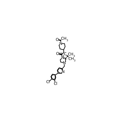 CC(=O)N1CCC(CC(=O)N2CCN(Cc3ccc(-c4ccc(Cl)c(Cl)c4)cn3)C[C@@H]2C(C)(C)C)CC1